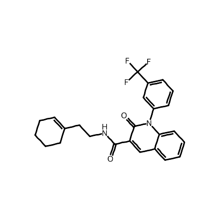 O=C(NCCC1=CCCCC1)c1cc2ccccc2n(-c2cccc(C(F)(F)F)c2)c1=O